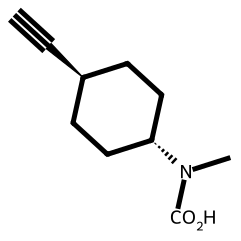 C#C[C@H]1CC[C@H](N(C)C(=O)O)CC1